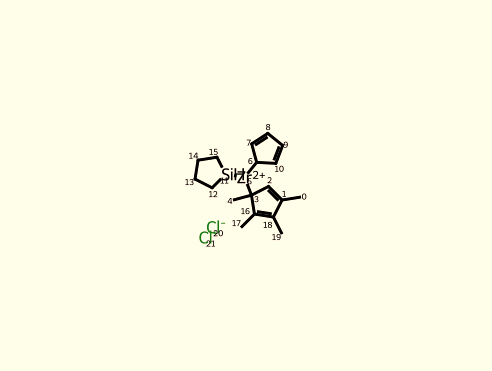 CC1=C[C](C)([Zr+2]([CH]2C=CC=C2)[SiH]2CCCC2)C(C)=C1C.[Cl-].[Cl-]